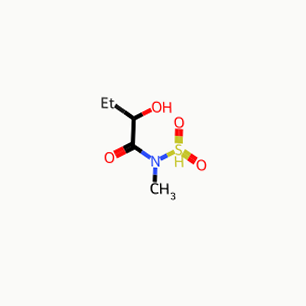 [CH2]CC(O)C(=O)N(C)[SH](=O)=O